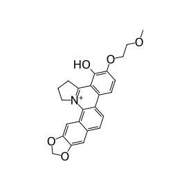 COCCOc1ccc2c(c1O)c1[n+](c3c4cc5c(cc4ccc23)OCO5)CCC1